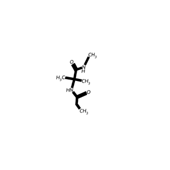 CCC(=O)NC(C)(C)C(=O)NC